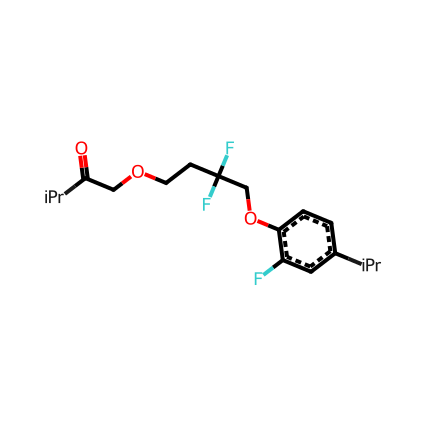 CC(C)C(=O)COCCC(F)(F)COc1ccc(C(C)C)cc1F